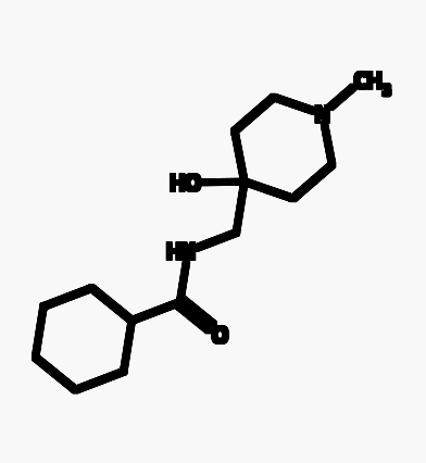 CN1CCC(O)(CNC(=O)C2CCCCC2)CC1